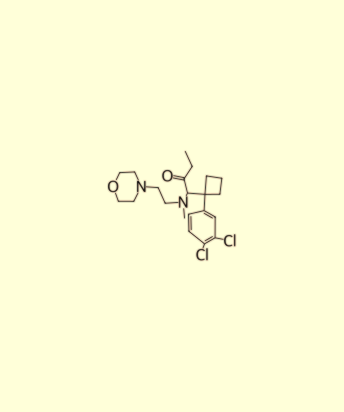 CCC(=O)C(N(C)CCN1CCOCC1)C1(c2ccc(Cl)c(Cl)c2)CCC1